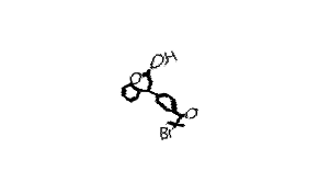 CC(C)(Br)C(=O)c1ccc(C(CC(=O)O)c2ccccc2)cc1